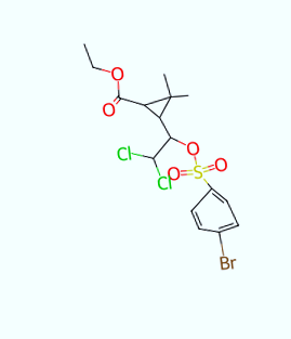 CCOC(=O)C1C(C(OS(=O)(=O)c2ccc(Br)cc2)C(Cl)Cl)C1(C)C